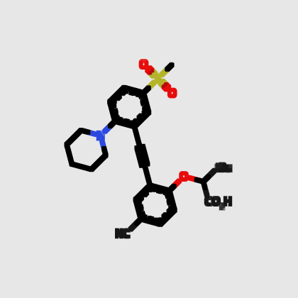 CC(C)(C)C(Oc1ccc(C#N)cc1C#Cc1cc(S(C)(=O)=O)ccc1N1CCCCC1)C(=O)O